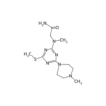 CSc1nc(N(C)CC(N)=O)nc(N2CCN(C)CC2)n1